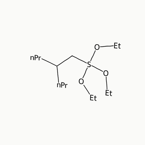 CCCC(CCC)CS(OCC)(OCC)OCC